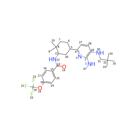 CNc1nc(C2CCC(C)(C)C(NC(=O)c3ccc(OC(F)(F)F)cc3)C2)ccc1NCC(C)(C)C